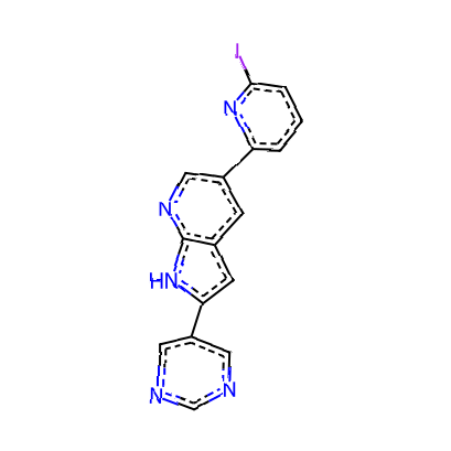 Ic1cccc(-c2cnc3[nH]c(-c4cncnc4)cc3c2)n1